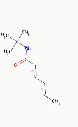 C/C=C/C=C/C(=O)NC(C)(C)C